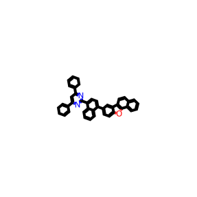 C1=CCCC(c2cc(C3=CCCC=C3)nc(-c3ccc(-c4ccc5oc6c7ccccc7ccc6c5c4)c4ccccc34)n2)=C1